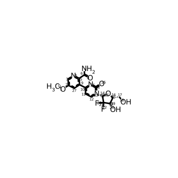 COc1cnc(C(N)=O)c(-c2ccn([C@@H]3O[C@H](CO)[C@@H](O)C3(F)F)c(=O)n2)c1